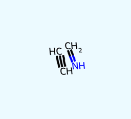 C#C.C=N